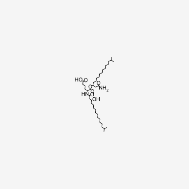 CC(C)CCCCCCCCCCC[C@H](O)CC(=O)N[C@@H](CCCC(=O)O)C(=O)O[C@@H](CCCCCCCCCCCC(C)C)CC(N)=O